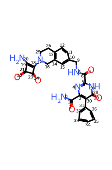 NC(=O)c1nc(C(=O)NCc2ccc3c(c2)CN(c2c(N)c(=O)c2=O)CC3)[nH]c(=O)c1-c1ccccc1